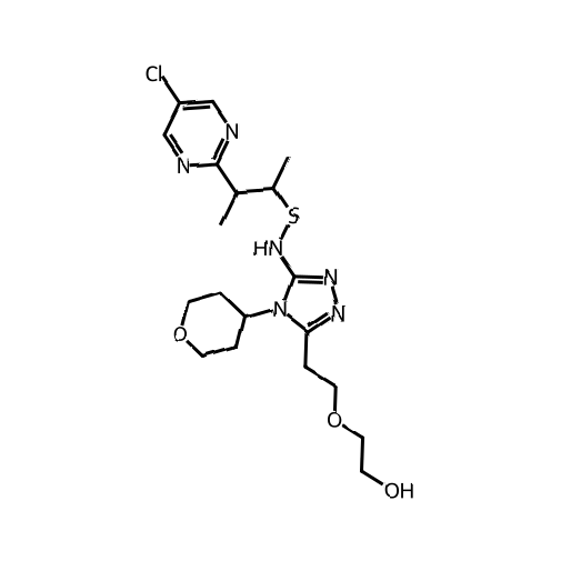 CC(SNc1nnc(CCOCCO)n1C1CCOCC1)C(C)c1ncc(Cl)cn1